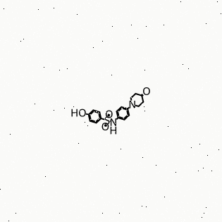 O=C1CCN(c2ccc(NS(=O)(=O)c3ccc(O)cc3)cc2)CC1